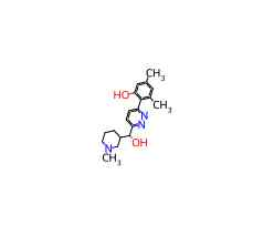 Cc1cc(C)c(-c2ccc(C(O)C3CCCN(C)C3)nn2)c(O)c1